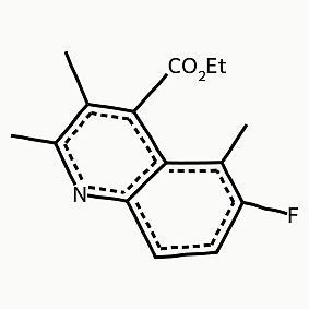 CCOC(=O)c1c(C)c(C)nc2ccc(F)c(C)c12